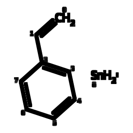 C=Cc1ccccc1.[SnH2]